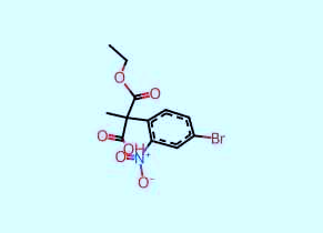 CCOC(=O)C(C)(C(=O)O)c1ccc(Br)cc1[N+](=O)[O-]